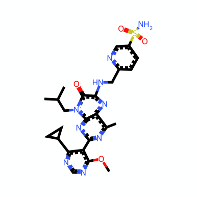 COc1ncnc(C2CC2)c1-c1nc(C)c2nc(NCc3ccc(S(N)(=O)=O)cn3)c(=O)n(CC(C)C)c2n1